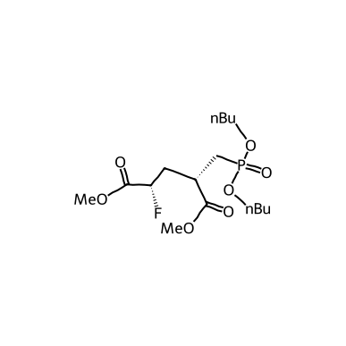 CCCCOP(=O)(C[C@@H](C[C@H](F)C(=O)OC)C(=O)OC)OCCCC